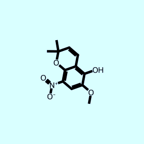 COc1cc([N+](=O)[O-])c2c(c1O)C=CC(C)(C)O2